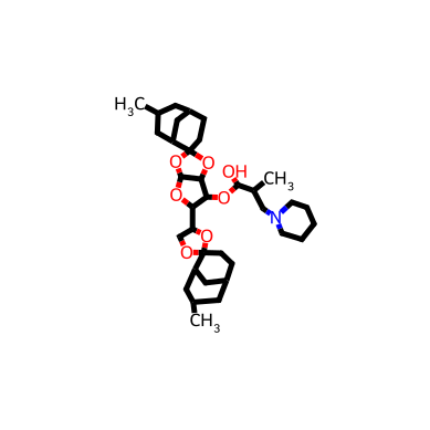 CC1CC2CCC3(OCC(C4OC5OC6(CCC7CC(C)CC6C7)OC5C4OC(O)C(C)CN4CCCCC4)O3)C(C1)C2